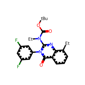 CCc1cccc2c(=O)n(-c3cc(F)cc(F)c3)c(N(CC)C(=O)OC(C)(C)C)nc12